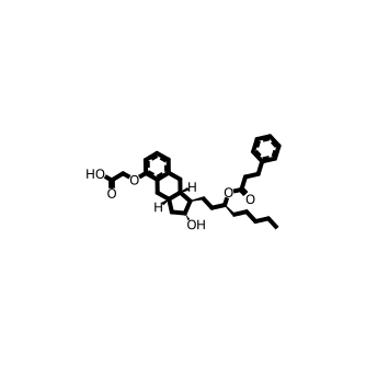 CCCCC[C@@H](CC[C@@H]1[C@H]2Cc3cccc(OCC(=O)O)c3C[C@H]2C[C@H]1O)OC(=O)CCc1ccccc1